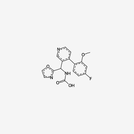 COc1cc(F)ccc1-c1ccncc1C(NC(=O)O)c1ncco1